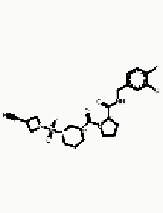 N#CC1CN(S(=O)(=O)N2CCC[C@H](C(=O)N3CCC[C@@H]3C(=O)NCc3ccc(Cl)c(Cl)c3)C2)C1